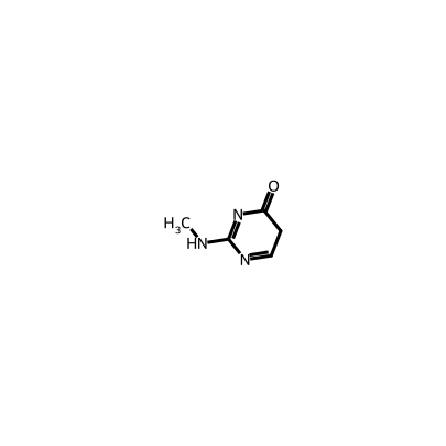 CNC1=NC(=O)CC=N1